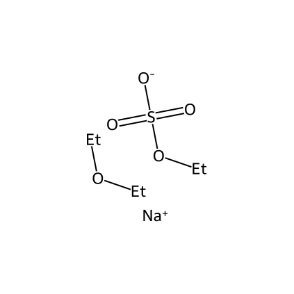 CCOCC.CCOS(=O)(=O)[O-].[Na+]